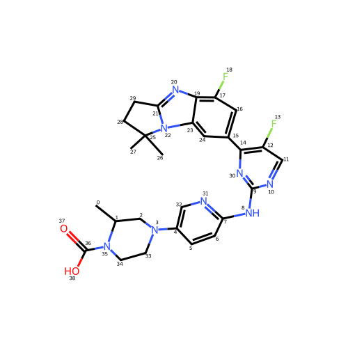 CC1CN(c2ccc(Nc3ncc(F)c(-c4cc(F)c5nc6n(c5c4)C(C)(C)CC6)n3)nc2)CCN1C(=O)O